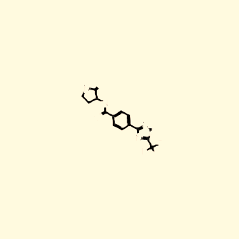 O=C(NC1CCNC1=O)c1ccc(-c2noc(C(F)(F)F)n2)cc1